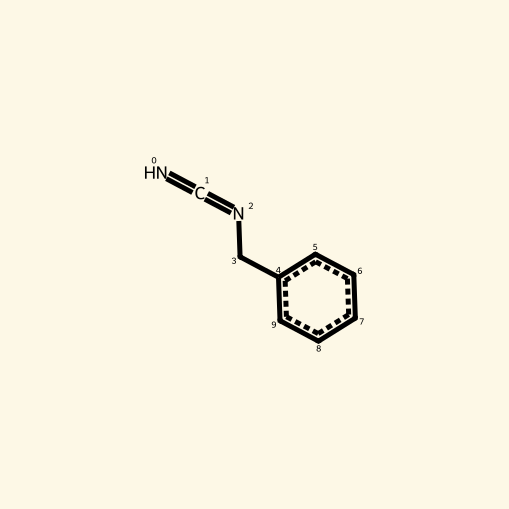 N=C=NCc1ccccc1